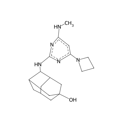 CNc1cc(N2CCC2)nc(NC2C3CC4CC2CC(O)(C4)C3)n1